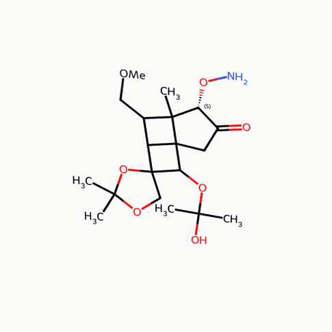 COCC1C2C3(COC(C)(C)O3)C(OC(C)(C)O)C23CC(=O)[C@@H](ON)C13C